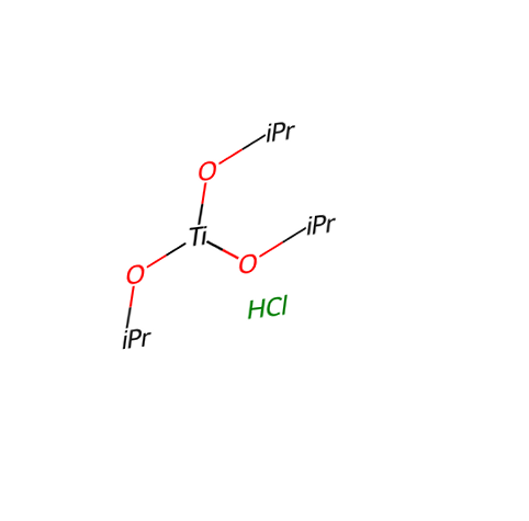 CC(C)[O][Ti]([O]C(C)C)[O]C(C)C.Cl